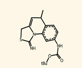 CC1C=C2CSC(=N)N2c2cc(NC(=O)OC(C)(C)C)ccc21